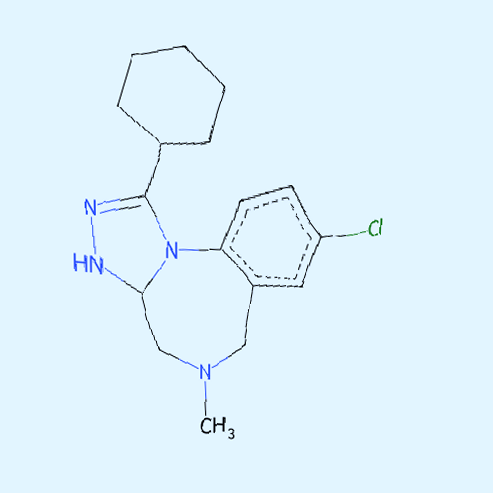 CN1Cc2cc(Cl)ccc2N2C(C3CCCCC3)=NNC2C1